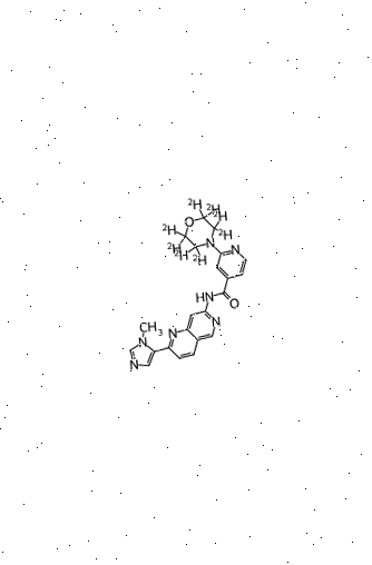 [2H]C1([2H])OC([2H])([2H])C([2H])([2H])N(c2cc(C(=O)Nc3cc4nc(-c5cncn5C)ccc4cn3)ccn2)C1([2H])[2H]